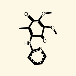 COC1=C(OC)C(=O)C(Nc2ccccn2)=C(C)C1=O